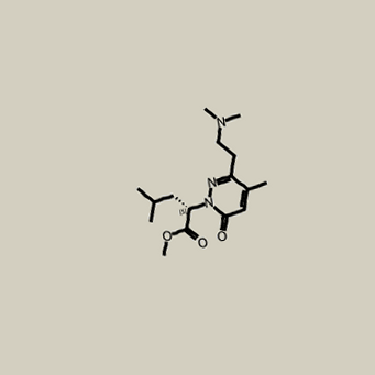 COC(=O)[C@H](CC(C)C)n1nc(CCN(C)C)c(C)cc1=O